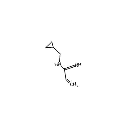 C=CC(=N)NCC1CC1